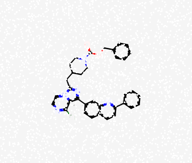 O=C(OCc1ccccc1)N1CCC(Cc2nc(-c3ccc4ccc(-c5ccccc5)nc4c3)c3c(Cl)nccn23)CC1